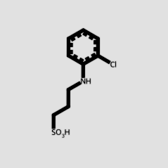 O=S(=O)(O)CCCNc1ccccc1Cl